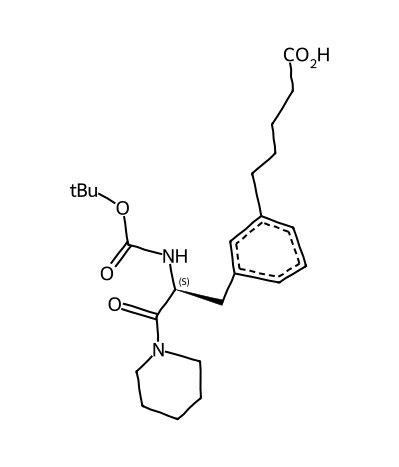 CC(C)(C)OC(=O)N[C@@H](Cc1cccc(CCCCC(=O)O)c1)C(=O)N1CCCCC1